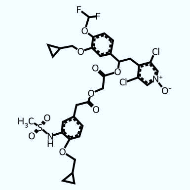 CS(=O)(=O)Nc1cc(CC(=O)OCC(=O)OC(Cc2c(Cl)c[n+]([O-])cc2Cl)c2ccc(OC(F)F)c(OCC3CC3)c2)ccc1OCC1CC1